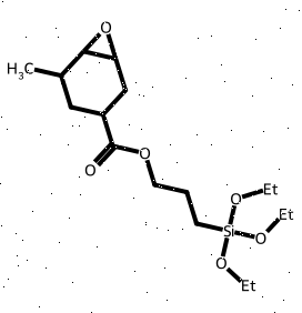 CCO[Si](CCCOC(=O)C1CC(C)C2OC2C1)(OCC)OCC